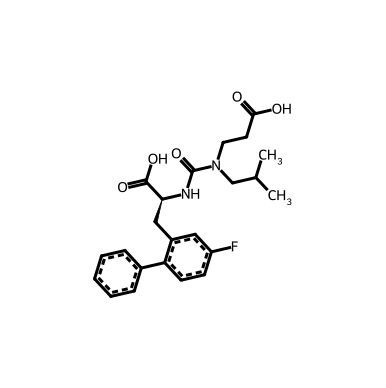 CC(C)CN(CCC(=O)O)C(=O)N[C@@H](Cc1cc(F)ccc1-c1ccccc1)C(=O)O